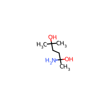 CC(C)(O)CCC(C)(N)O